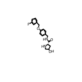 O=C(NCc1ccc(OCc2cccc(F)c2)cc1)[C@@H]1CC(O)CN1